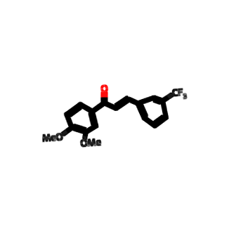 COc1ccc(C(=O)/C=C/c2cccc(C(F)(F)F)c2)cc1OC